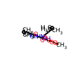 CCCOCCOCCOCCCNC(=O)[C@H](CCCCNC(=O)CCCCCCCCC1=C(C)CCCC1(C)C)NC(=O)CCCCCCCCC1=C(C)CCCC1(C)C